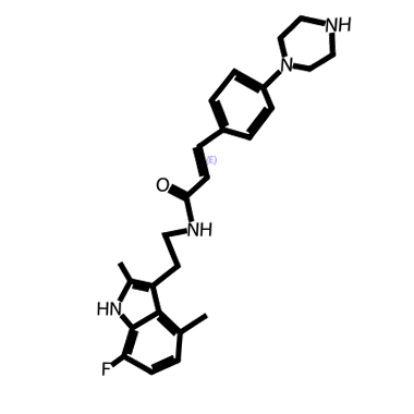 Cc1[nH]c2c(F)ccc(C)c2c1CCNC(=O)/C=C/c1ccc(N2CCNCC2)cc1